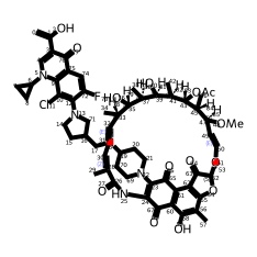 C=C(O)c1cn(C2CC2)c2c(Cl)c(N3CCC(CNC4CCN(C5=C6NC(=O)/C(C)=C\C=C\[C@H](C)[C@H](O)[C@@H](C)[C@@H](O)[C@@H](C)[C@H](OC(C)=O)[C@H](C)[C@@H](OC)/C=C/O[C@@]7(C)Oc8c(C)c(O)c(c(c8C7=O)C5=O)C6=O)CC4)C3)c(F)cc2c1=O